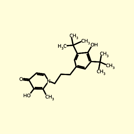 Cc1c(O)c(=O)ccn1CCCc1cc(C(C)(C)C)c(O)c(C(C)(C)C)c1